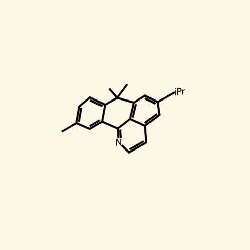 Cc1ccc2c(c1)-c1nccc3cc(C(C)C)cc(c13)C2(C)C